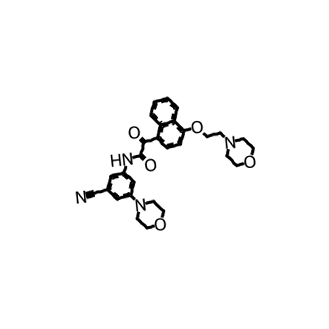 N#Cc1cc(NC(=O)C(=O)c2ccc(OCCN3CCOCC3)c3ccccc23)cc(N2CCOCC2)c1